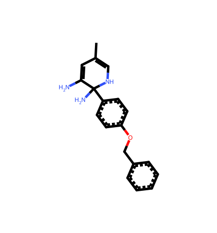 CC1=CNC(N)(c2ccc(OCc3ccccc3)cc2)C(N)=C1